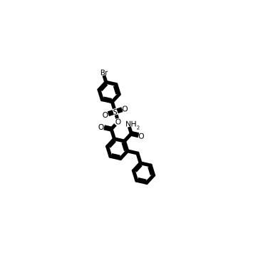 NC(=O)c1c(Cc2ccccc2)cccc1C(=O)OS(=O)(=O)c1ccc(Br)cc1